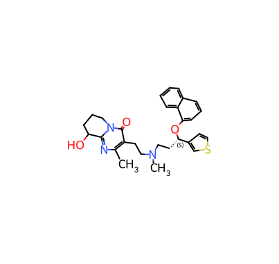 Cc1nc2n(c(=O)c1CCN(C)CC[C@H](Oc1cccc3ccccc13)c1ccsc1)CCCC2O